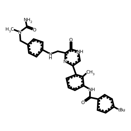 Cc1c(NC(=O)c2ccc(C(C)(C)C)cc2)cccc1-c1c[nH]c(=O)c(CNc2ccc(CN(C)C(N)=O)cc2)n1